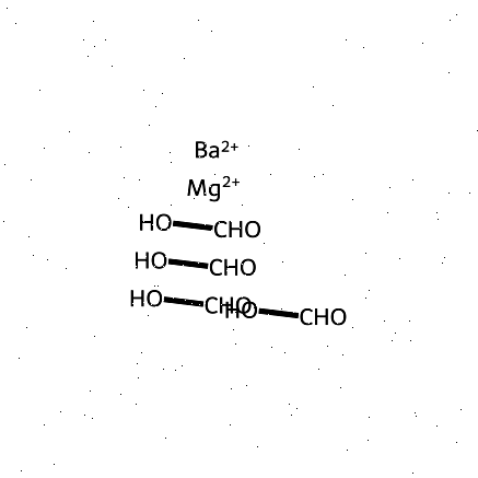 O=[C-]O.O=[C-]O.O=[C-]O.O=[C-]O.[Ba+2].[Mg+2]